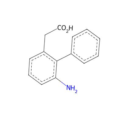 Nc1cccc(CC(=O)O)c1-c1ccccc1